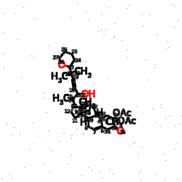 CC(=O)OC1(OC(C)=O)C[C@@]2(C)C(=CC[C@H]3[C@@H]4CC[C@H]([C@H](C)C(O)C#CC(C)(C)C5CCCCO5)[C@@]4(C)CC[C@@H]32)CC1=O